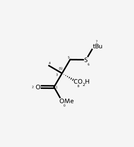 COC(=O)[C@@](C)(CSC(C)(C)C)C(=O)O